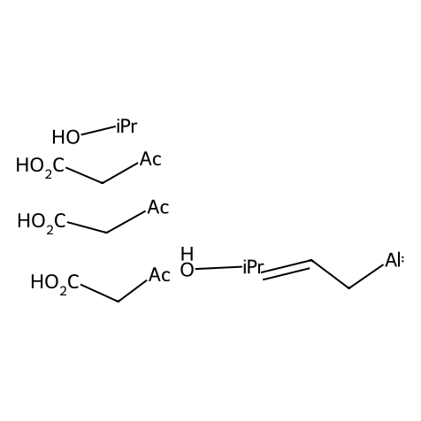 C=C[CH2][Al].CC(=O)CC(=O)O.CC(=O)CC(=O)O.CC(=O)CC(=O)O.CC(C)O.CC(C)O